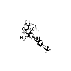 CO[C@H](C)[C@H]1C(=O)Nc2c(C)nc(NCc3ccc(OCC(F)(F)F)nc3)nc2N1C